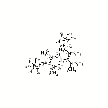 CN(C)C(Cl)=[N+](C)C.CN(C)C(Cl)=[N+](C)C.F[P-](F)(F)(F)(F)F.F[P-](F)(F)(F)(F)F